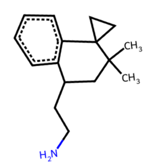 CC1(C)CC(CCN)c2ccccc2C12CC2